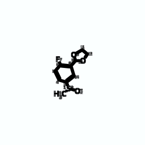 C[S+]([O-])c1ccc(F)c(C2OCCO2)c1